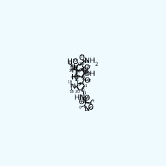 Cc1noc(C)c1S(=O)(=O)NCc1cc2c(c(N(C)C)c1)C[C@H]1C[C@@H]3[C@@H](C(=O)C(C(N)=O)=C(O)[C@H]3N(C)C)C(O)=C1C2=O